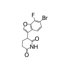 O=C1CCC(c2coc3c(F)c(Br)ccc23)C(=O)N1